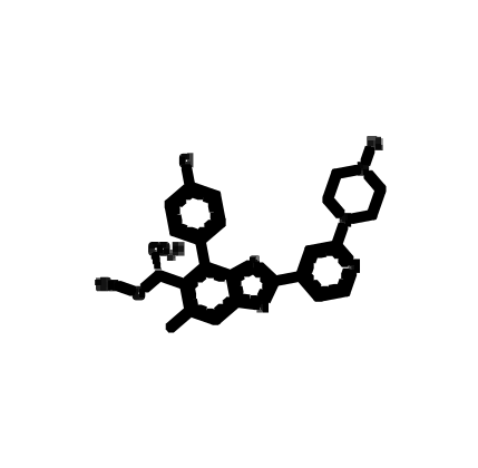 CCN1CCN(c2cc(-c3nc4cc(C)c([C@H](OC(C)(C)C)C(=O)O)c(-c5ccc(Cl)cc5)c4s3)ccn2)CC1